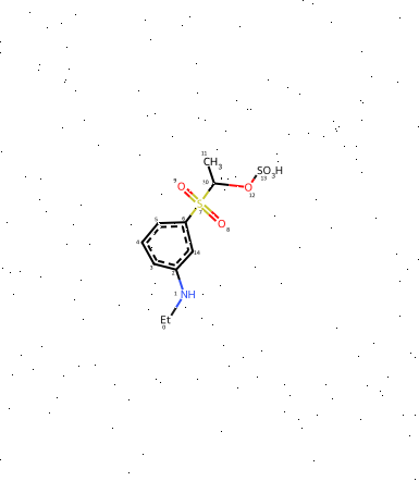 CCNc1cccc(S(=O)(=O)C(C)OS(=O)(=O)O)c1